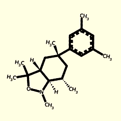 Cc1cc(C)cc([C@@]2(C)C[C@@H]3[C@@H]([C@@H](C)C2)N(C)OC3(C)C)c1